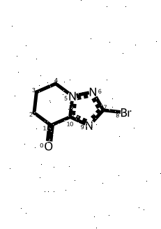 O=C1CCCn2nc(Br)nc21